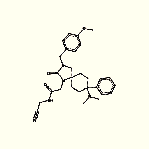 COc1ccc(CN2CC3(CCC(c4ccccc4)(N(C)C)CC3)N(CC(=O)NCC#N)C2=O)cc1